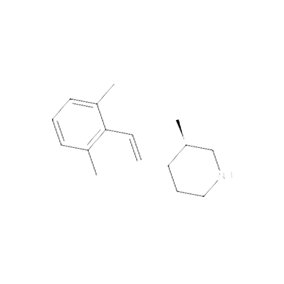 Cc1cccc(C)c1/C=C/[C@H]1CCNC[C@@H]1C